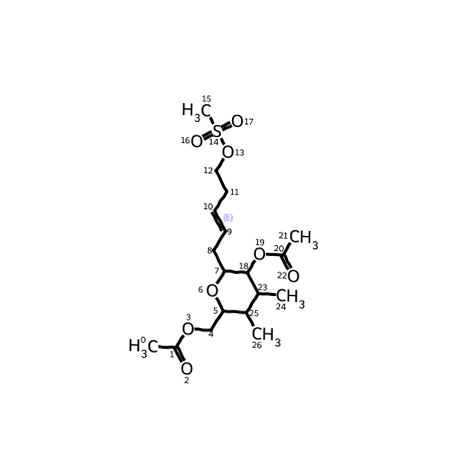 CC(=O)OCC1OC(C/C=C/CCOS(C)(=O)=O)C(OC(C)=O)C(C)C1C